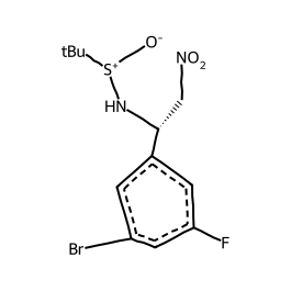 CC(C)(C)[S+]([O-])N[C@H](C[N+](=O)[O-])c1cc(F)cc(Br)c1